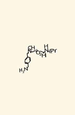 [2H]C(COCCN(C)Cc1ccc(CN)cc1)NC(C)C